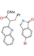 COC(=O)C(CC(C)C)c1ccc2ccccc2n1.O=C1N=Cc2cc(Br)ccc21